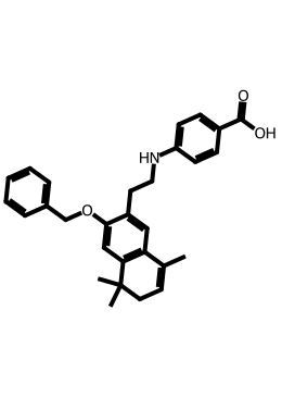 CC1=CCC(C)(C)c2cc(OCc3ccccc3)c(CCNc3ccc(C(=O)O)cc3)cc21